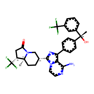 C[C@@](O)(c1ccc(-c2nc([C@@H]3CC[C@H]4[C@H](C(F)(F)F)CC(=O)N4C3)n3ccnc(N)c23)cc1)c1cccc(C(F)(F)F)c1